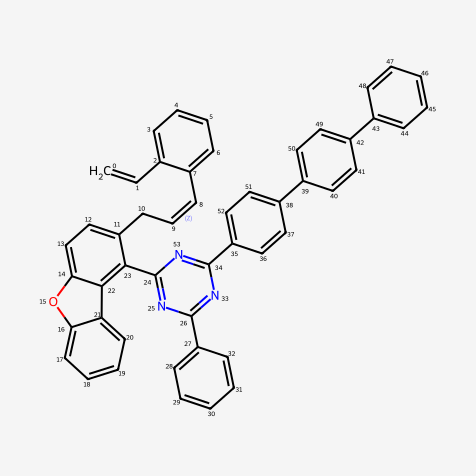 C=Cc1ccccc1/C=C\Cc1ccc2oc3ccccc3c2c1-c1nc(-c2ccccc2)nc(-c2ccc(-c3ccc(-c4ccccc4)cc3)cc2)n1